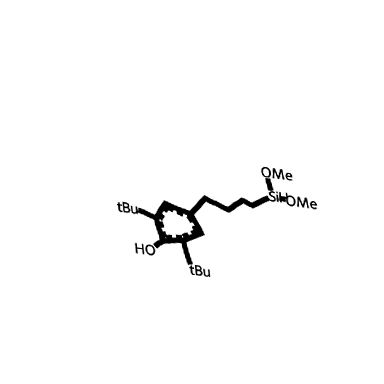 CO[SiH](CCCCc1cc(C(C)(C)C)c(O)c(C(C)(C)C)c1)OC